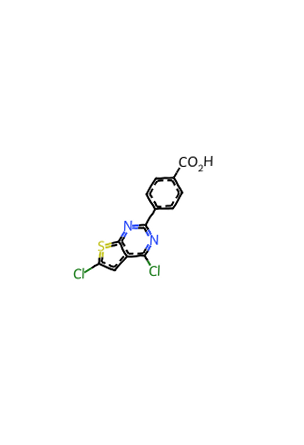 O=C(O)c1ccc(-c2nc(Cl)c3cc(Cl)sc3n2)cc1